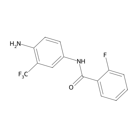 Nc1ccc(NC(=O)c2ccccc2F)cc1C(F)(F)F